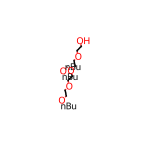 CCCCOCCCC.CCCCOCCOCCOCCOCCO